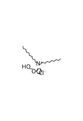 CCCCCCCCCC[N+](C)(C)CCCCCCCCCC.OCCOc1ccccc1.[Cl-]